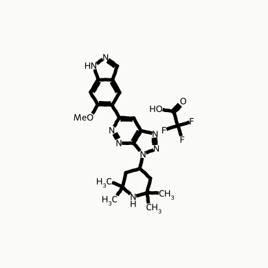 COc1cc2[nH]ncc2cc1-c1cc2nnn(C3CC(C)(C)NC(C)(C)C3)c2nn1.O=C(O)C(F)(F)F